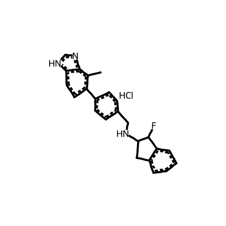 Cc1c(-c2ccc(CNC3Cc4ccccc4C3F)cc2)ccc2[nH]cnc12.Cl